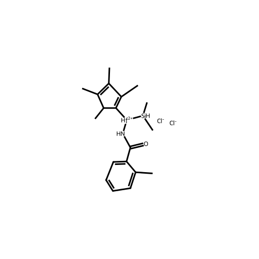 CC1=C(C)C(C)[C]([Hf+2]([NH]C(=O)c2ccccc2C)[SiH](C)C)=C1C.[Cl-].[Cl-]